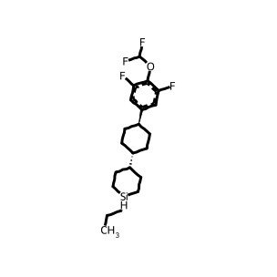 CCC[SiH]1CCC([C@H]2CC[C@H](c3cc(F)c(OC(F)F)c(F)c3)CC2)CC1